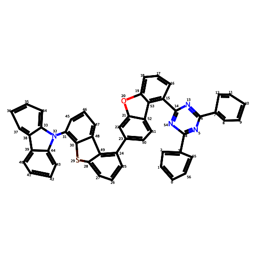 c1ccc(-c2nc(-c3ccccc3)nc(-c3cccc4oc5cc(-c6cccc7sc8c(-n9c%10ccccc%10c%10ccccc%109)cccc8c67)ccc5c34)n2)cc1